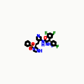 N[C@H](C(=O)Nc1cnccc1CC[C@H]1CNCCN1S(=O)(=O)c1ccccc1)[C@@H](c1ccc(F)cc1)c1cc(F)cc(F)c1